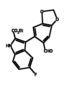 CCOC(=O)c1[nH]c2ccc(F)cc2c1-c1cc2c(cc1C=O)OCO2